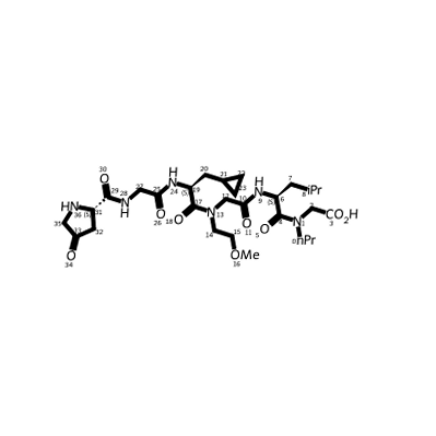 CCCN(CC(=O)O)C(=O)[C@H](CC(C)C)NC(=O)CN(CCOC)C(=O)[C@H](CC1CC1)NC(=O)CNC(=O)[C@@H]1CC(=O)CN1